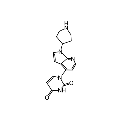 O=c1ccn(-c2ccnc3c2ccn3C2CCNCC2)c(=O)[nH]1